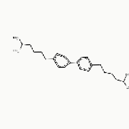 O=C(O)C(CCCCc1ccc(-c2ccc(CCCCC(C(=O)O)C(=O)O)cc2)cc1)C(=O)O